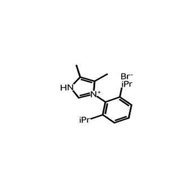 Cc1[nH]c[n+](-c2c(C(C)C)cccc2C(C)C)c1C.[Br-]